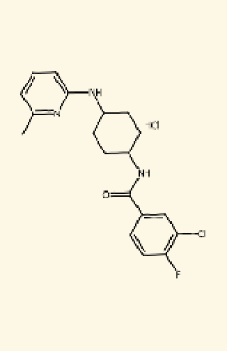 Cc1cccc(NC2CCC(NC(=O)c3ccc(F)c(Cl)c3)CC2)n1.Cl